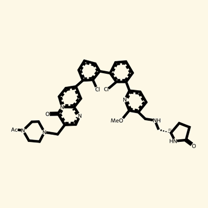 COc1nc(-c2cccc(-c3cccc(-c4ccn5c(=O)c(CN6CCN(C(C)=O)CC6)cnc5c4)c3Cl)c2Cl)ccc1CNC[C@@H]1CCC(=O)N1